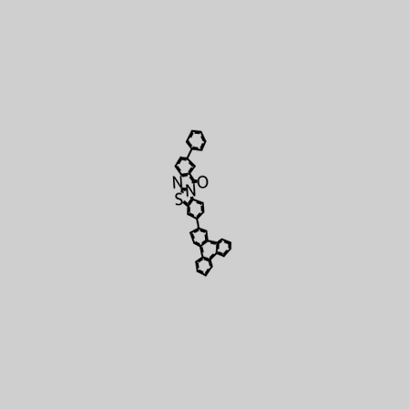 O=c1c2cc(-c3ccccc3)ccc2nc2sc3cc(-c4ccc5c6ccccc6c6ccccc6c5c4)ccc3n12